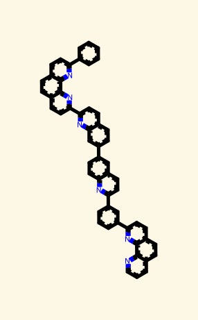 c1ccc(-c2ccc3ccc4ccc(-c5ccc6ccc(-c7ccc8nc(-c9cccc(-c%10ccc%11ccc%12cccnc%12c%11n%10)c9)ccc8c7)cc6n5)nc4c3n2)cc1